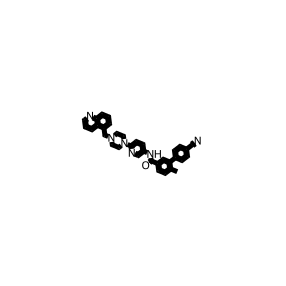 Cc1ccc(C(=O)Nc2ccc(N3CCN(Cc4cccc5ncccc45)CC3)nc2)cc1-c1ccc(C#N)cc1